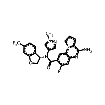 Cn1cc(N(C(=O)c2cc3c(cc2F)nc(N)c2cccn23)[C@@H]2COc3cc(C(F)(F)F)ccc32)cn1